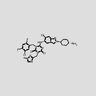 Cn1cnc(Cn2c(=O)nc(Nc3cc4cn([C@H]5CC[C@H](N)CC5)nc4cc3Cl)n(Cc3cc(Cl)c(F)cc3F)c2=O)n1